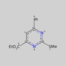 CCOC(=O)c1cc(C(C)C)nc(SC)n1